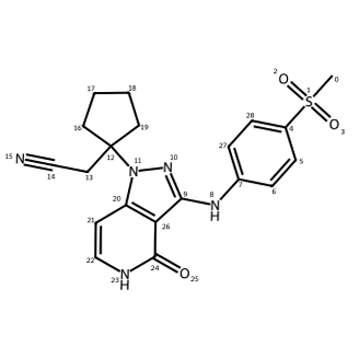 CS(=O)(=O)c1ccc(Nc2nn(C3(CC#N)CCCC3)c3cc[nH]c(=O)c23)cc1